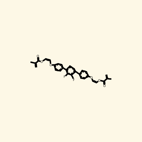 C=C(C)C(=O)O/C=C\Oc1ccc(-c2ccc(-c3ccc(O/C=C\OC(=O)C(=C)C)cc3)c(F)c2F)cc1